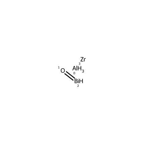 [AlH3].[O]=[BiH].[Zr]